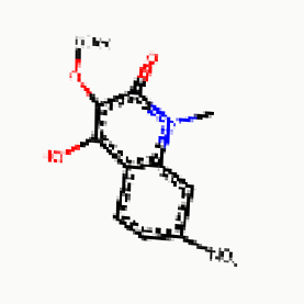 CCCCCCCCCCOc1c(O)c2ccc([N+](=O)[O-])cc2n(C)c1=O